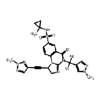 [2H]C([2H])(c1cnn(C)c1)N1C(=O)c2cc(S(=O)(=O)NC3(C)CC3)ccc2N2C1=NCC2C#Cc1cnn(C)n1